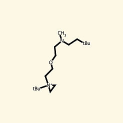 CN(CCOCC[N+]1(C(C)(C)C)CC1)CCC(C)(C)C